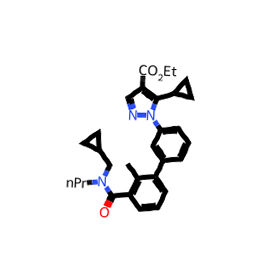 CCCN(CC1CC1)C(=O)c1cccc(-c2cccc(-n3ncc(C(=O)OCC)c3C3CC3)c2)c1C